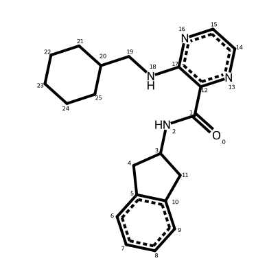 O=C(NC1Cc2ccccc2C1)c1nccnc1NCC1CCCCC1